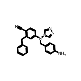 N#Cc1ccc(N(Cc2ccc(N)cc2)n2cnnc2)cc1Cc1ccccc1